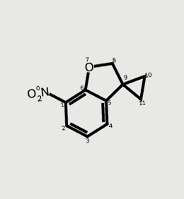 O=[N+]([O-])c1cccc2c1OCC21CC1